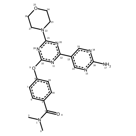 CN(C)C(=O)c1ccc(Oc2nc(-c3cnc(N)nc3)nc(N3CCOCC3)n2)cc1